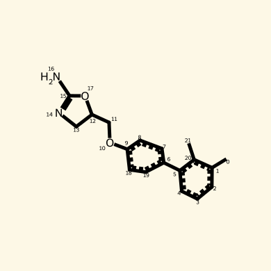 Cc1cccc(-c2ccc(OCC3CN=C(N)O3)cc2)c1C